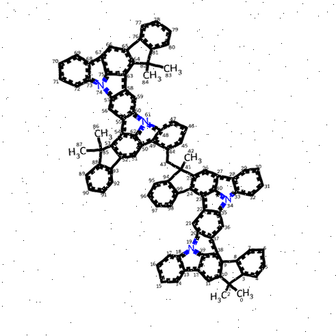 CC1(C)c2ccccc2-c2c1cc1c3ccccc3n3c4cc5c6c7c(cc8c9ccccc9n(c5cc4c2c13)c86)C(C)(Cc1cccc2c1c1cc3c(c4c5cc6c(cc5n2c14)c1c2c(cc4c5ccccc5n6c41)-c1ccccc1C2(C)C)C(C)(C)c1ccccc1-3)c1ccccc1-7